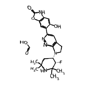 CC1(C)C[C@H](N2CCc3cc(-c4cc5oc(=O)[nH]c5cc4O)nnc32)[C@H](F)C(C)(C)N1.O=CO